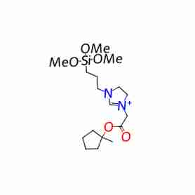 CO[Si](CCCN1C=[N+](CC(=O)OC2(C)CCCC2)CC1)(OC)OC